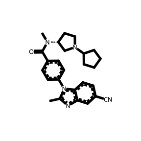 Cc1nc2cc(C#N)ccc2n1-c1ccc(C(=O)N(C)[C@@H]2CCN(C3CCCC3)C2)cc1